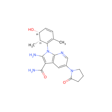 CC1=C(n2c(N)c(C(N)=O)c3cc(N4CCCC4=O)cnc32)[C@H](C)[C@H](O)C=C1